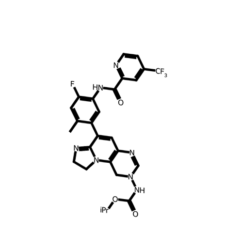 Cc1cc(F)c(NC(=O)c2cc(C(F)(F)F)ccn2)cc1C1=CC2=C(CN(NC(=O)OC(C)C)C=N2)N2CCN=C12